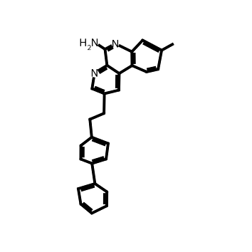 Cc1ccc2c(c1)nc(N)c1ncc(CCc3ccc(-c4ccccc4)cc3)cc12